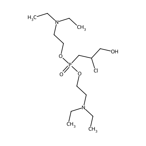 CCN(CC)CCOP(=O)(CC(Cl)CO)OCCN(CC)CC